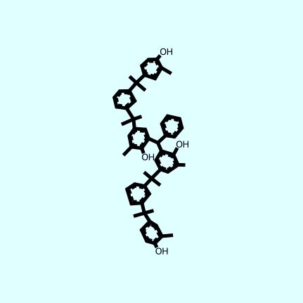 Cc1cc(C(C)(C)c2cccc(C(C)(C)c3cc(C)c(O)c(C(c4ccccc4)c4cc(C(C)(C)c5cccc(C(C)(C)c6ccc(O)c(C)c6)c5)cc(C)c4O)c3)c2)ccc1O